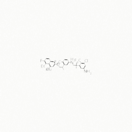 CCc1c(F)ccc2cc(OCC(C)c3cc(NCC(C)(C)c4cc(N)cc(Cl)c4C(F)(F)F)ccc3C(F)(F)F)cc(C(C)CC)c12